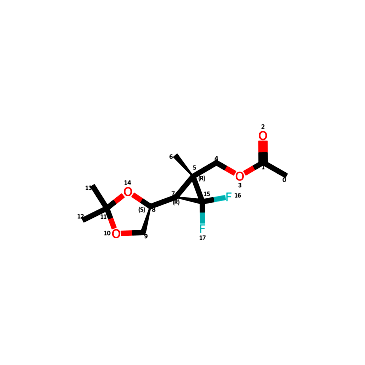 CC(=O)OC[C@@]1(C)[C@H]([C@H]2COC(C)(C)O2)C1(F)F